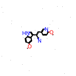 COc1ccc2[nH]cc(/C(C#N)=C/c3ccc(OC)nc3)c2c1